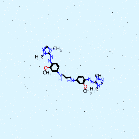 COc1cc(NCCCNc2ccc(N=Nc3n(C)nc[n+]3C)c(OC)c2)ccc1N=Nc1n(C)nc[n+]1C